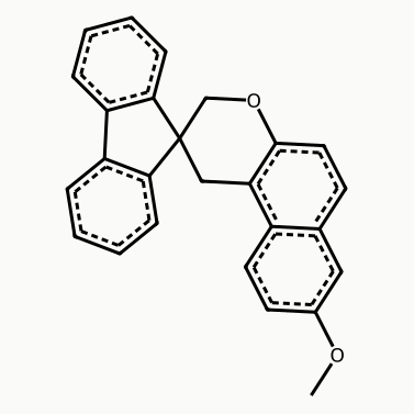 COc1ccc2c3c(ccc2c1)OCC1(C3)c2ccccc2-c2ccccc21